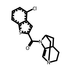 O=C(c1cc2c(Cl)cccc2s1)N1C2=CN3CCC2CC1C3